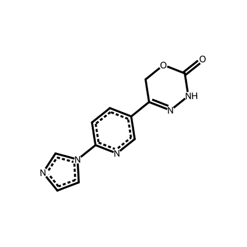 O=C1NN=C(c2ccc(-n3ccnc3)nc2)CO1